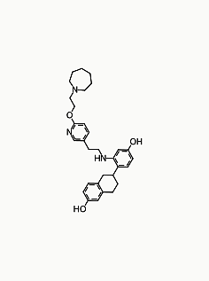 Oc1ccc2c(c1)CCC(c1ccc(O)cc1NCCc1ccc(OCCN3CCCCCC3)nc1)C2